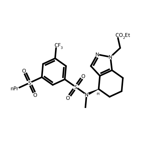 CCCS(=O)(=O)c1cc(C(F)(F)F)cc(S(=O)(=O)N(C)[C@@H]2CCCc3c2cnn3CC(=O)OCC)c1